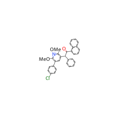 COc1nc(OC)c(C(C(=O)c2cccc3ccccc23)c2ccccc2)cc1-c1ccc(Cl)cc1